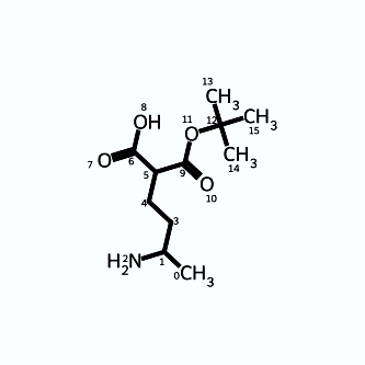 CC(N)CCC(C(=O)O)C(=O)OC(C)(C)C